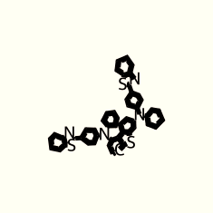 c1ccc(N(c2ccc(-c3nc4ccccc4s3)cc2)c2ccc3c(c2)sc2cccc(N(c4ccccc4)c4ccc(-c5nc6ccccc6s5)cc4)c23)cc1